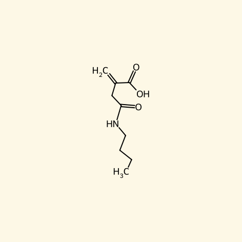 C=C(CC(=O)NCCCC)C(=O)O